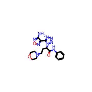 Nc1nonc1-c1nnnn1C(CCN1CCOCC1)C(=O)Nc1ccccc1